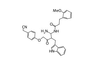 COc1ccccc1CCC(=O)NC(N)C(Cc1c[nH]c2ccccc12)C(=O)COc1ccc(CC#N)cc1